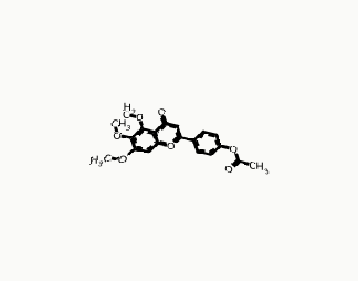 COc1cc2oc(-c3ccc(OC(C)=O)cc3)cc(=O)c2c(OC)c1OC